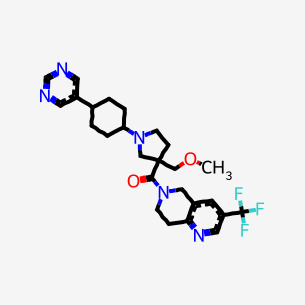 COCC1(C(=O)N2CCc3ncc(C(F)(F)F)cc3C2)CCN(C2CCC(c3cncnc3)CC2)C1